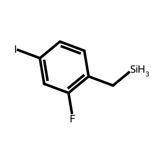 Fc1cc(I)ccc1C[SiH3]